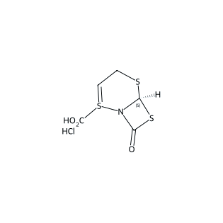 Cl.O=C1S[C@@H]2SCC=S(C(=O)O)N12